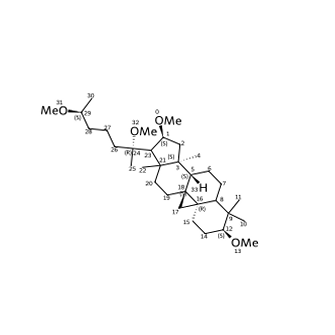 CO[C@H]1C[C@@]2(C)[C@@H]3CCC4C(C)(C)[C@@H](OC)CC[C@@]45C[C@@]35CCC2(C)C1[C@@](C)(CCC[C@H](C)OC)OC